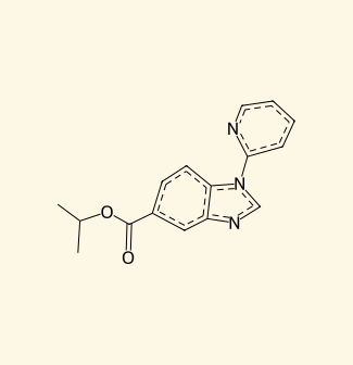 CC(C)OC(=O)c1ccc2c(c1)ncn2-c1ccccn1